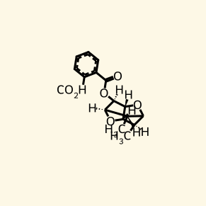 C[C@@H]1C2O[C@H]3[C@H](OC(=O)c4ccccc4C(=O)O)[C@H](O[C@H]31)[C@H]2C